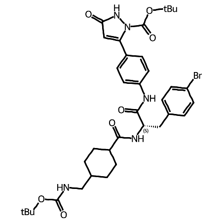 CC(C)(C)OC(=O)NCC1CCC(C(=O)N[C@@H](Cc2ccc(Br)cc2)C(=O)Nc2ccc(-c3cc(=O)[nH]n3C(=O)OC(C)(C)C)cc2)CC1